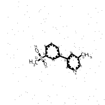 Cc1cncc(-c2cccc(S(C)(=O)=O)c2)c1